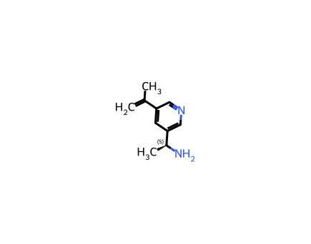 C=C(C)c1cncc([C@H](C)N)c1